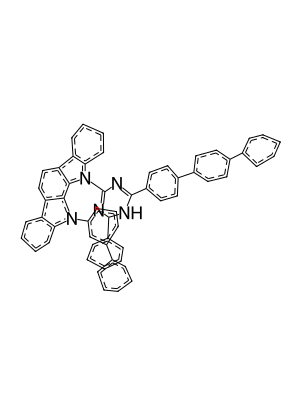 c1ccc(-c2ccc(-c3ccc(C4=NC(n5c6ccccc6c6ccc7c8ccccc8n(-c8cccc(-c9ccccc9)c8)c7c65)=NC(c5ccccc5)N4)cc3)cc2)cc1